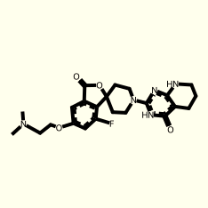 CN(C)CCOc1cc(F)c2c(c1)C(=O)OC21CCN(c2nc3c(c(=O)[nH]2)CCCN3)CC1